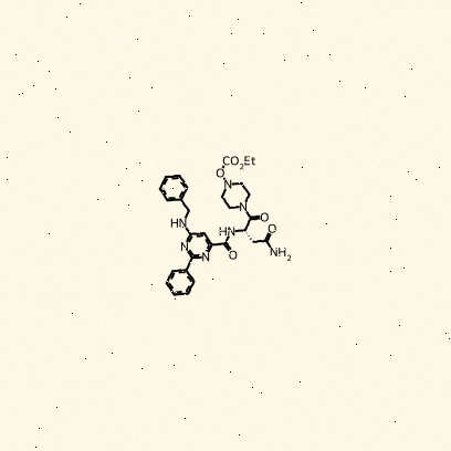 CCOC(=O)ON1CCN(C(=O)[C@H](CC(N)=O)NC(=O)c2cc(NCc3ccccc3)nc(-c3ccccc3)n2)CC1